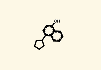 Oc1ccc(C2CCCC2)c2ccccc12